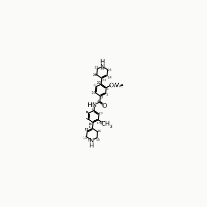 COc1cc(C(=O)Nc2ccc(C3=CCNCC3)c(C)c2)ccc1C1=CCNCC1